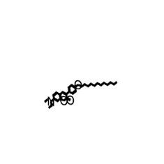 CCCCCCCCCCCCOc1ccc(-c2cc3ccc(N(CC)CC)cc3oc2=O)cc1